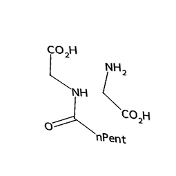 CCCCCC(=O)NCC(=O)O.NCC(=O)O